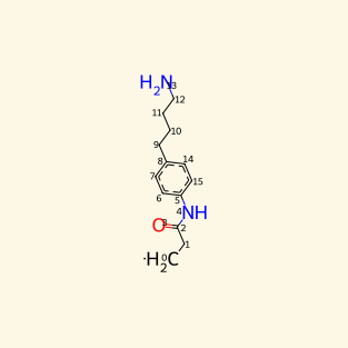 [CH2]CC(=O)Nc1ccc(CCCCN)cc1